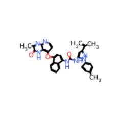 C=C(C)c1cc(NC(=O)Nc2ccc(Oc3ccnc4nc(C)c(=O)[nH]c34)c3ccccc23)n(-c2ccc(C)cc2)n1